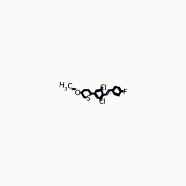 CCCOC1CCC(c2cc(Cl)c(/C=C/c3ccc(F)cc3)c(Cl)c2)SC1